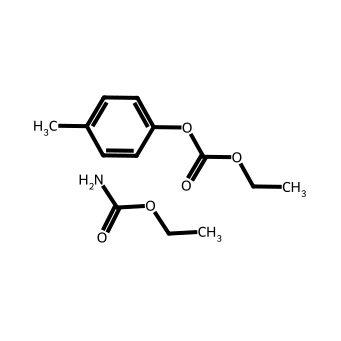 CCOC(=O)Oc1ccc(C)cc1.CCOC(N)=O